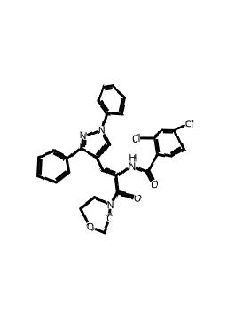 O=C(N/C(=C\c1cn(-c2ccccc2)nc1-c1ccccc1)C(=O)N1CCOCC1)c1ccc(Cl)cc1Cl